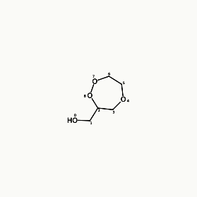 OCC1COCCOO1